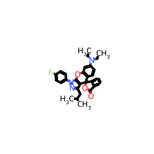 CCN(CC)c1ccc2c(c1)Oc1c(c(CC(C)C)nn1-c1ccc(F)cc1)C21OC(=O)c2ccccc21